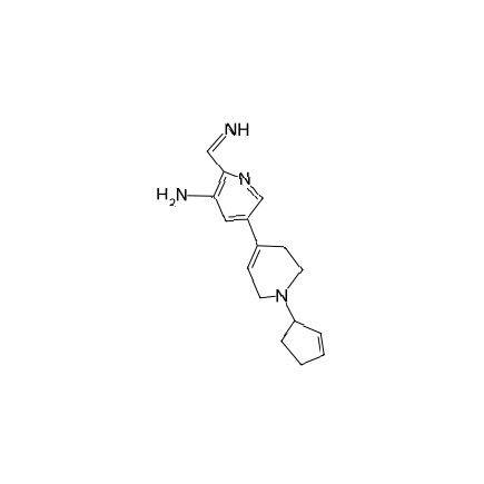 N=Cc1ncc(C2=CCN(C3C=CCC3)CC2)cc1N